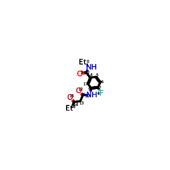 CCNC(=O)c1ccc(F)c(NC(=O)CC(=O)CC)c1